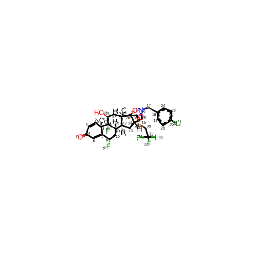 C[C@]12C=CC(=O)C=C1[C@@H](F)C[C@H]1[C@@H]3C[C@H]4CN(Cc5ccc(Cl)cc5)O[C@@]4(C(=O)SCC(F)(F)F)[C@@]3(C)C[C@H](O)[C@@]12F